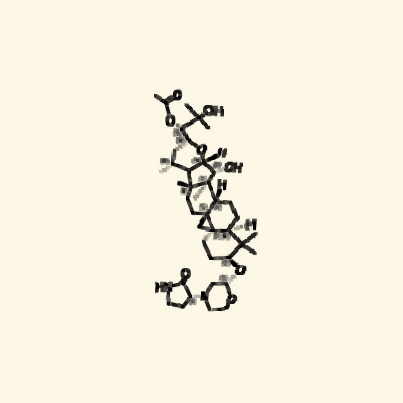 CC(=O)O[C@@H]([C@H]1C[C@@H](C)C2[C@H](O1)[C@H](O)[C@@]1(C)[C@@H]3CC[C@H]4C(C)(C)[C@@H](O[C@H]5CN([C@@H]6CCNC6=O)CCO5)CC[C@@]45C[C@@]35CC[C@]21C)C(C)(C)O